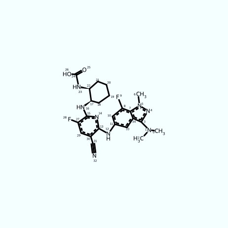 CN(C)c1nn(C)c2c(F)cc(Nc3nc(N[C@@H]4CCCC[C@@H]4NC(=O)O)c(F)cc3C#N)cc12